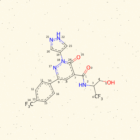 O=C(NC(CO)C(F)(F)F)c1cc(-c2ccc(C(F)(F)F)cc2)nn(-c2cn[nH]c2)c1=O